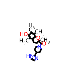 Cc1c(C)c2c(c(C)c1O)CCC(C)(C(=O)N1CCC(c3ncc[nH]3)CC1)O2